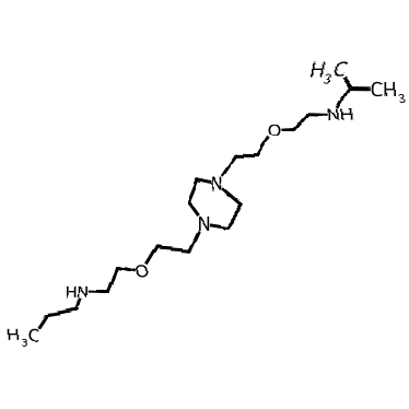 CCCNCCOCCN1CCN(CCOCCNC(C)C)CC1